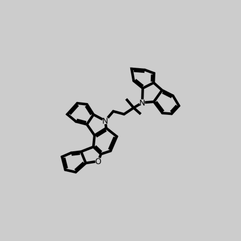 CC(C)(CCn1c2ccccc2c2c3c(ccc21)oc1ccccc13)n1c2ccccc2c2ccccc21